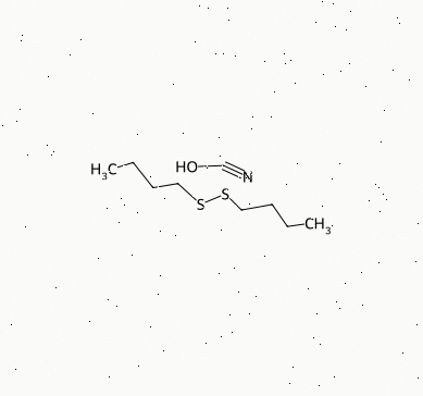 CCCCSSCCCC.N#CO